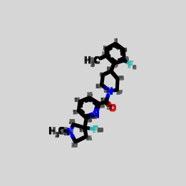 Cc1cccc(F)c1C1CCN(C(=O)c2cccc(C3(F)CCN(C)C3)n2)CC1